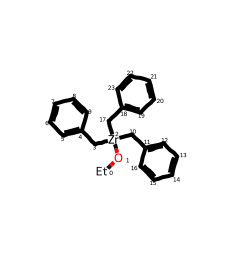 CC[O][Zr]([CH2]c1ccccc1)([CH2]c1ccccc1)[CH2]c1ccccc1